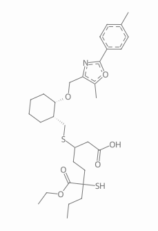 CCCC(S)(CCC(CC(=O)O)SC[C@@H]1CCCC[C@@H]1OCc1nc(-c2ccc(C)cc2)oc1C)C(=O)OCC